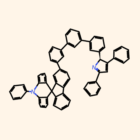 C1=C(c2ccccc2)[C@H](c2cccc(-c3cccc(-c4cccc(-c5ccc6c(c5)C5(c7ccccc7-6)c6ccccc6N(c6ccccc6)c6ccccc65)c4)c3)c2)N=C1c1ccccc1